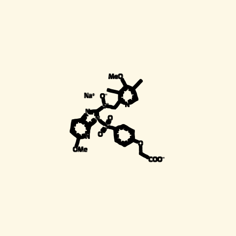 COc1ccc2nc([S+]([O-])Cc3ncc(C)c(OC)c3C)n(S(=O)(=O)c3ccc(OCC(=O)[O-])cc3)c2n1.[Na+]